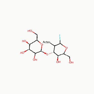 CC(=O)NC1C(F)OC(CO)[C@@H](O)[C@@H]1O[C@@H]1OC(CO)[C@H](O)[C@H](O)C1O